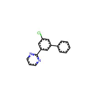 Clc1cc(-c2ccccc2)cc(-c2ncccn2)c1